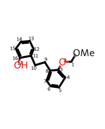 COCOc1ccccc1CCc1ccccc1O